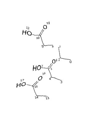 CCC.CCC(=O)O.CCC(=O)O.CCC(=O)O